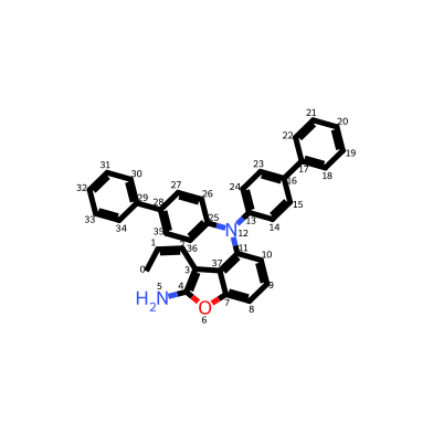 C/C=C\c1c(N)oc2cccc(N(c3ccc(-c4ccccc4)cc3)c3ccc(-c4ccccc4)cc3)c12